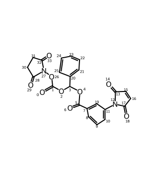 O=C(OC(OC(=O)c1cccc(N2C(=O)C=CC2=O)c1)c1ccccc1)ON1C(=O)CCC1=O